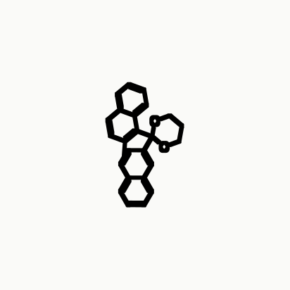 Cc1ccc2ccccc2c1C1(c2ccc3ccccc3c2)OCCCO1